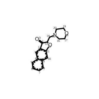 O=C1c2cc3ccccc3cc2OC1CN1CCOCC1